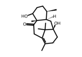 CC1=C2CC(=O)[C@]3(C)C(O)CC[C@@H](C)[C@H]3C[C@](O)(C[CH]1)C2(C)C